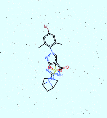 Cc1cc(Br)cc(C)c1-n1cc2c(=O)[nH]c(N3C4CC3CN(S(C)(=O)=O)C4)nc2n1